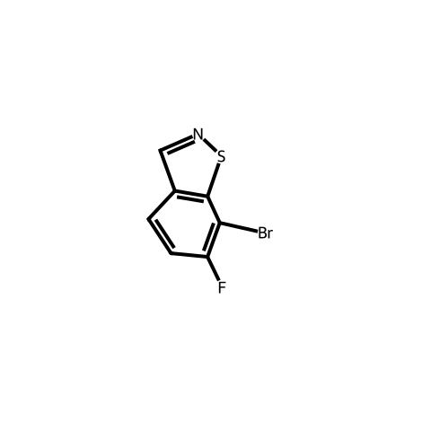 Fc1ccc2cnsc2c1Br